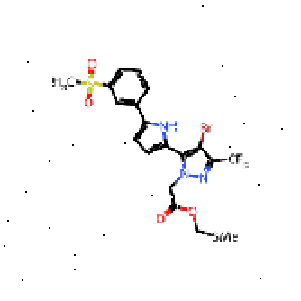 CSCOC(=O)Cn1nc(C(F)(F)F)c(Br)c1-c1ccc(-c2cccc(S(C)(=O)=O)c2)[nH]1